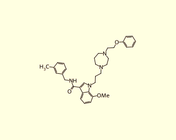 COc1cccc2c(C(=O)NCc3cccc(C)c3)cn(CCCN3CCCN(CCOc4ccccc4)CC3)c12